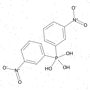 O=[N+]([O-])c1cccc(P(O)(O)(O)c2cccc([N+](=O)[O-])c2)c1